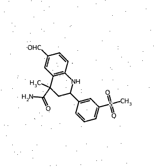 CC1(C(N)=O)CC(c2cccc(S(C)(=O)=O)c2)Nc2ccc([C]=O)cc21